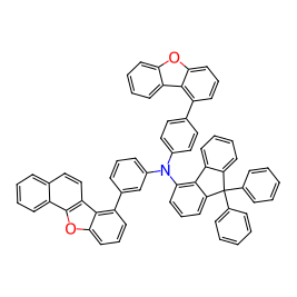 c1ccc(C2(c3ccccc3)c3ccccc3-c3c(N(c4ccc(-c5cccc6oc7ccccc7c56)cc4)c4cccc(-c5cccc6oc7c8ccccc8ccc7c56)c4)cccc32)cc1